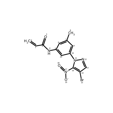 C=CC(=O)Nc1cc(C)cc(-n2ncc(Br)c2[N+](=O)[O-])c1